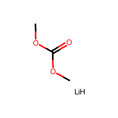 COC(=O)OC.[LiH]